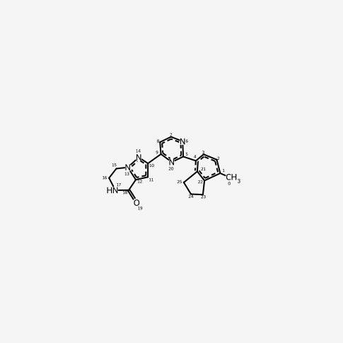 Cc1ccc(-c2nccc(-c3cc4n(n3)CCNC4=O)n2)c2c1CCC2